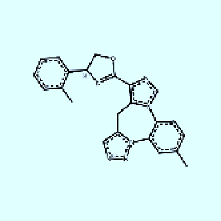 Cc1ccc2c(c1)-n1nncc1Cc1c(C3=N[C@@H](c4ccccc4C)CO3)ncn1-2